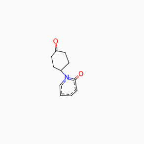 O=C1CCC(n2ccccc2=O)CC1